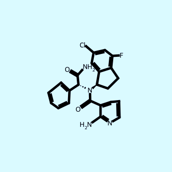 NC(=O)[C@@H](c1ccccc1)N(C(=O)c1cccnc1N)[C@@H]1CCc2c(F)cc(Cl)cc21